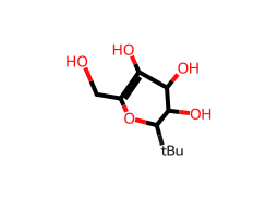 CC(C)(C)C1OC(CO)=C(O)C(O)C1O